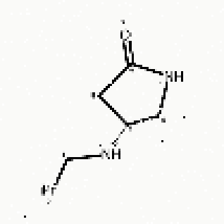 CC(C)CN[C@H]1CNC(=O)C1